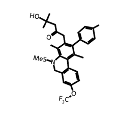 CSN1Cc2cc(OC(F)(F)F)ccc2-c2c(C)c(-c3ccc(C)cc3)c(CC(=O)CC(C)(C)O)c(C)c21